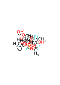 CC(C)(OC(=O)C(C)(C)C(C)(C(=O)OC1CCOC1=O)C(C)(C(=O)OC1CC(C(C)(O)C(F)(F)F)CC(C(C)(O)C(F)(F)F)C1)C(C)(C)C(=O)OCC(F)(F)S(=O)(=O)O)c1ccccc1